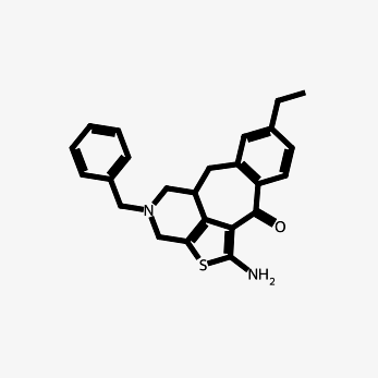 CCc1ccc2c(c1)CC1CN(Cc3ccccc3)Cc3sc(N)c(c31)C2=O